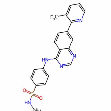 CCCCNS(=O)(=O)c1ccc(Nc2ncnc3cc(-c4ncccc4C(F)(F)F)ccc23)cc1